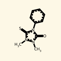 Cn1c(=O)n(-c2ccccc2)c(=S)n1C